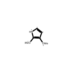 COc1cc[nH]c1OC